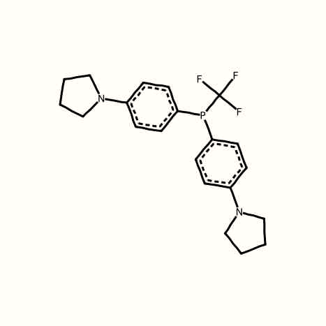 FC(F)(F)P(c1ccc(N2CCCC2)cc1)c1ccc(N2CCCC2)cc1